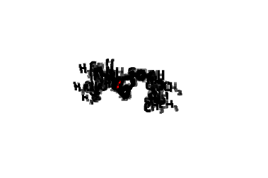 COC(=O)N[C@@H](CCSC)C(=O)N1C[C@H](C)C[C@H]1c1nc(-c2ccc(/C(C)=C3/C=C\[C@H](C)CCc4ccc(cc4-c4ccc(-c5c[nH]c([C@@H]6C[C@@H](C)CN6C(=O)[C@H](CCSC)NC(=O)OC)n5)cc4)CC3)cc2)c[nH]1